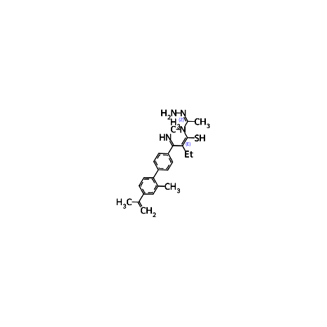 C=C(C)c1ccc(-c2ccc(C(=N)/C(CC)=C(/S)N(C)/C(C)=N\N)cc2)c(C)c1